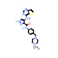 CN1CCN(Cc2ccc(NC(=O)c3n[nH]cc3Nc3ncnc4ccsc34)cc2)CC1